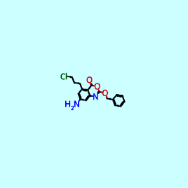 Nc1cc(CCCCl)c2c(=O)oc(OCc3ccccc3)nc2c1